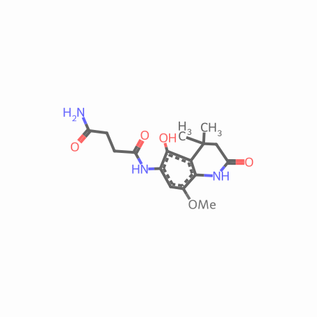 COc1cc(NC(=O)CCC(N)=O)c(O)c2c1NC(=O)CC2(C)C